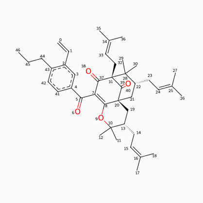 C=Cc1cc(C(=O)C2=C3OC(C)(C)[C@@H](CC=C(C)C)C[C@@]34C[C@@H](CC=C(C)C)C(C)(C)[C@@](CC=C(C)C)(C2=O)C4=O)ccc1CCC